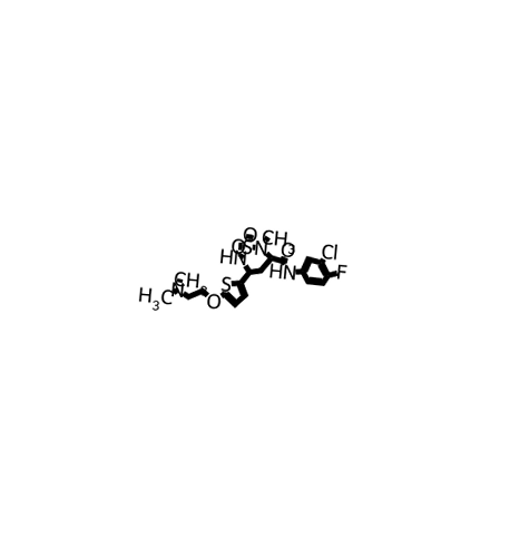 CN(C)CCOc1ccc(C2CC(C(=O)Nc3ccc(F)c(Cl)c3)N(C)S(=O)(=O)N2)s1